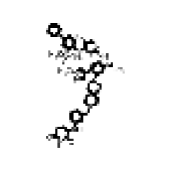 COc1cc(N2CCC3(CCN(Cc4cccc(NC5CCC(=O)NC5=O)c4)CC3)CC2)c(-c2cnn(C)c2)cc1Nc1ncc(Br)c(Nc2ccc(-c3ccccc3)cc2P(C)(C)=O)n1